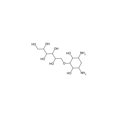 NC1CC(N)C(O)C(OCC(O)C(O)C(O)C(O)CO)C1O